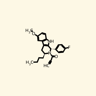 C#CC(=O)N1[C@@H](CCCC)Cc2c([nH]c3ccc(OC)cc23)[C@@H]1c1ccc(F)cc1